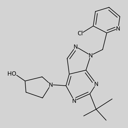 CC(C)(C)c1nc(N2CCC(O)C2)c2cnn(Cc3ncccc3Cl)c2n1